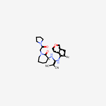 CC(=O)c1cc2coccc-2c1NC(N[C@H]1CCCCN(CC(=O)N2CCCC2)C1=O)=C(C#N)C#N